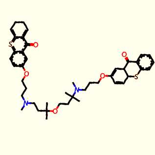 CN(CCCOc1ccc2sc3c(c(=O)c2c1)=CCCC=3)CCC(C)(C)OCCC(C)(C)N(C)CCCOC1=CC2C(=O)c3ccccc3SC2C=C1